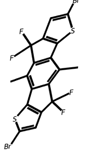 Cc1c2c(c(C)c3c1C(F)(F)c1cc(Br)sc1-3)C(F)(F)c1cc(Br)sc1-2